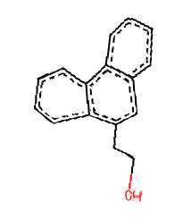 OCCc1cc2ccccc2c2ccccc12